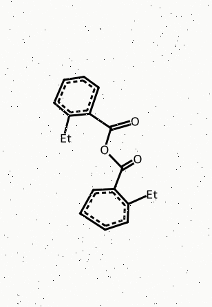 CCc1ccccc1C(=O)OC(=O)c1ccccc1CC